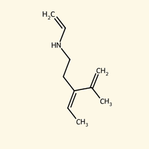 C=CNCCC(=CC)C(=C)C